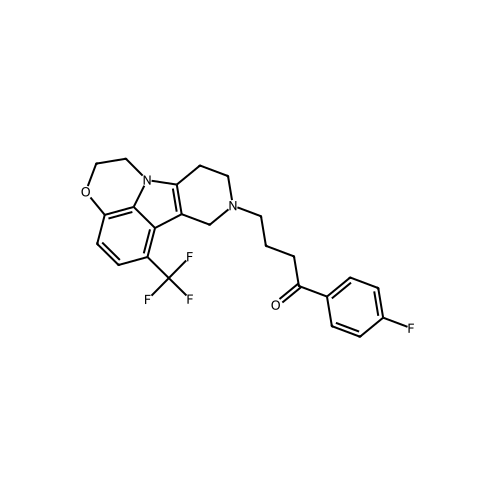 O=C(CCCN1CCc2c(c3c(C(F)(F)F)ccc4c3n2CCO4)C1)c1ccc(F)cc1